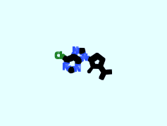 CC(C)C1CC=C(n2cnc3c(Cl)ncnc32)[C@@H]1C